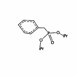 CC(C)OP(=O)(Cc1ccccc1)OC(C)C